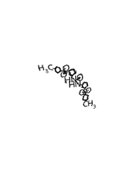 Cc1ccc(S(=O)(=O)c2cccc(NC(=O)Nc3cccc(S(=O)(=O)c4ccc(C)cc4)c3)c2)cc1